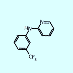 FC(F)(F)c1cc[c]c(Nc2ccccn2)c1